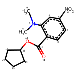 CN(C)c1cc([N+](=O)[O-])ccc1C(=O)OC1CCCC1